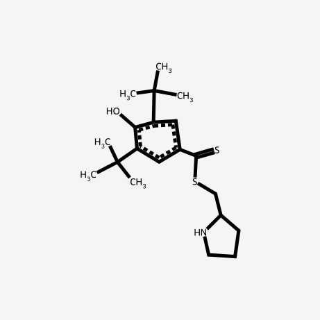 CC(C)(C)c1cc(C(=S)SCC2CCCN2)cc(C(C)(C)C)c1O